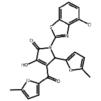 Cc1ccc(C(=O)C2=C(O)C(=O)N(c3nc4c(Cl)cccc4s3)C2c2ccc(C)o2)o1